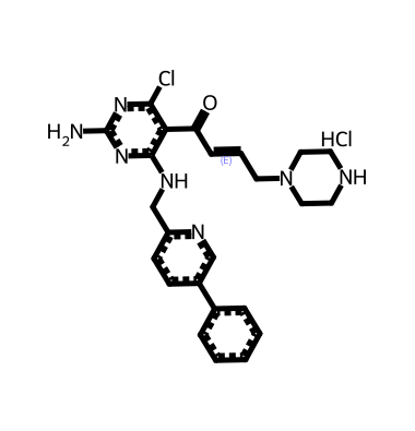 Cl.Nc1nc(Cl)c(C(=O)/C=C/CN2CCNCC2)c(NCc2ccc(-c3ccccc3)cn2)n1